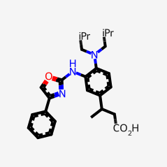 CC(C)CN(CC(C)C)c1ccc(C(C)CC(=O)O)cc1Nc1nc(-c2ccccc2)co1